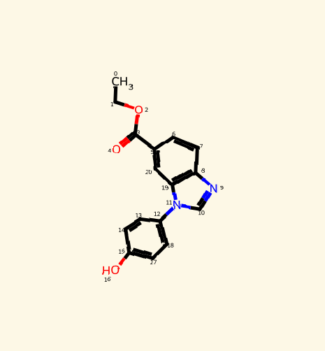 CCOC(=O)c1ccc2ncn(-c3ccc(O)cc3)c2c1